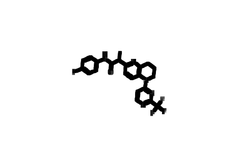 CC(C(=O)Nc1ccc(F)cc1)c1ccc2c(n1)CCCN2c1ccnc(C(F)(F)F)n1